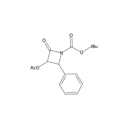 CC(=O)OC1C(=O)N(C(=O)OC(C)(C)C)C1c1ccccc1